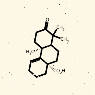 CC1(C)C(=O)CC[C@]2(C)C3=CCCC[C@]3(C(=O)O)CCC12